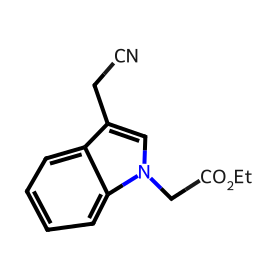 CCOC(=O)Cn1cc(CC#N)c2ccccc21